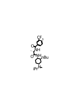 CCCC[C@H]1C[C@H](N(C)C(C)C)CC[C@@H]1NC(=O)[C@H](C)NC(=O)c1cccc(C(F)(F)F)c1